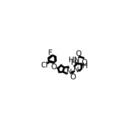 O=C1CO[C@H]2CCN(C(=O)N3CC4CC(Oc5ccc(F)cc5Cl)CC4C3)C[C@H]2N1